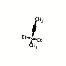 [CH2]C#C[Si](C)(CC)CC